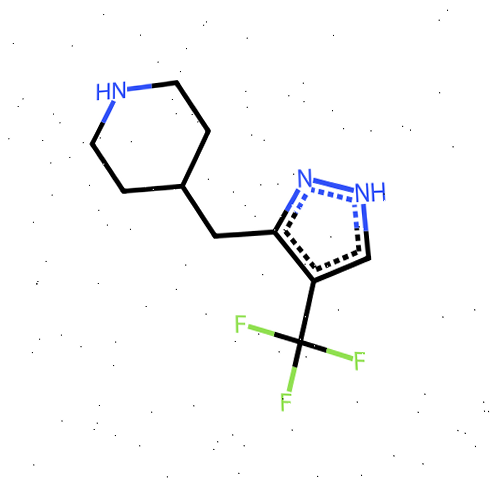 FC(F)(F)c1c[nH]nc1CC1CCNCC1